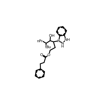 CCCC(C(O)C(CCOC(=O)CCc1ccccc1)N1NNc2ccccc21)C(C)(C)C